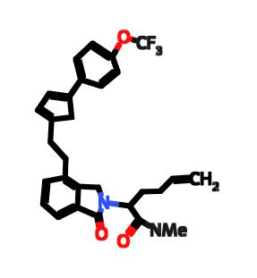 C=CCCC(C(=O)NC)N1Cc2c(CCC3=CC=C(c4ccc(OC(F)(F)F)cc4)C3)cccc2C1=O